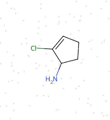 NC1CCC=C1Cl